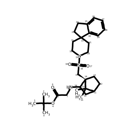 CC(C)(C)OC(=O)CNC1CC2CC[C@]1(CS(=O)(=O)N1CCC3(CCc4ccccc43)CC1)C2(C)C